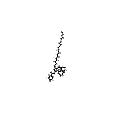 CCCCCCCCCCCCCCCCCCCn1cc(CC(C)c2ccccc2)[n+](-c2ccccc2)c1Cc1ccccc1